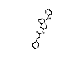 O=C(C=Cc1ccccc1)Nc1ccc2c(Nc3ccccc3)ncnc2c1